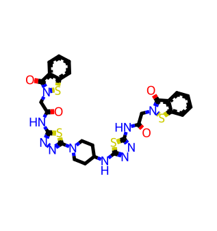 O=C(Cn1sc2ccccc2c1=O)Nc1nnc(NC2CCN(c3nnc(NC(=O)Cn4sc5ccccc5c4=O)s3)CC2)s1